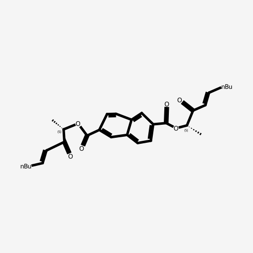 CCCCC=CC(=O)[C@H](C)OC(=O)c1ccc2cc(C(=O)O[C@@H](C)C(=O)C=CCCCC)ccc2c1